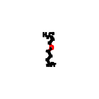 C=CCO[CH]CCCCC